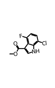 COC(=O)c1c[nH]c2c(Cl)ccc(F)c12